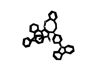 CCCC1=C(C(CC)/C2=C(\N(I)c3ccc(-c4ccccc4)cc3)[C@@H](C3=CCC(N4C5=CC=CCC5C5C=CC=CC54)C=C3)CCC3C=CC=CC3OC2)CCC=C1